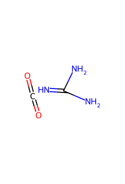 N=C(N)N.O=C=O